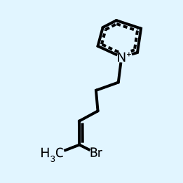 CC(Br)=CCCC[n+]1ccccc1